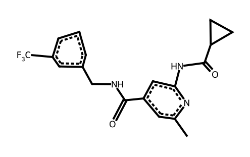 Cc1cc(C(=O)NCc2cccc(C(F)(F)F)c2)cc(NC(=O)C2CC2)n1